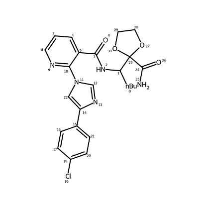 CCCCC(NC(=O)c1cccnc1-n1cnc(-c2ccc(Cl)cc2)c1)C1(C(N)=O)OCCO1